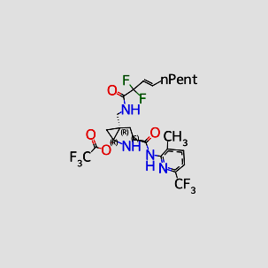 CCCCCC=CC(F)(F)C(=O)NC[C@]12C[C@@H](C(=O)Nc3nc(C(F)(F)F)ccc3C)N[C@@]1(OC(=O)C(F)(F)F)C2